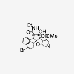 CCNC(=O)[C@@H]1C(c2ccccc2)C2(c3ccc(Br)cc3)Oc3cncc(OC)c3C2(O)[C@@H]1O